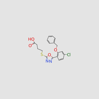 O=C(O)CCCSc1nnc(-c2ccc(Cl)cc2OCc2ccccc2)o1